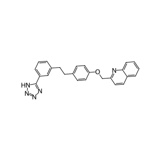 c1cc(CCc2ccc(OCc3ccc4ccccc4n3)cc2)cc(-c2nnn[nH]2)c1